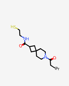 CC(C)CC(=O)N1CCC2(CC1)CC(C(=O)NCCS)C2